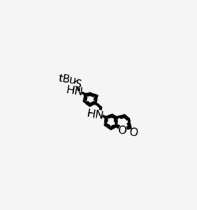 CC(C)(C)SNc1ccc(CNc2ccc3oc(=O)ccc3c2)cc1